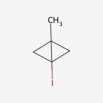 CC12CC1(I)C2